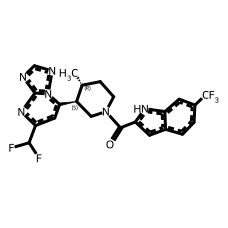 C[C@@H]1CCN(C(=O)c2cc3ccc(C(F)(F)F)cc3[nH]2)C[C@H]1c1cc(C(F)F)nc2ncnn12